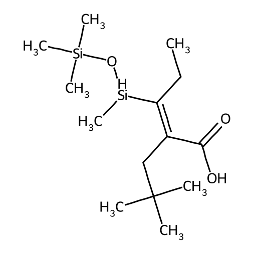 CCC(=C(CC(C)(C)C)C(=O)O)[SiH](C)O[Si](C)(C)C